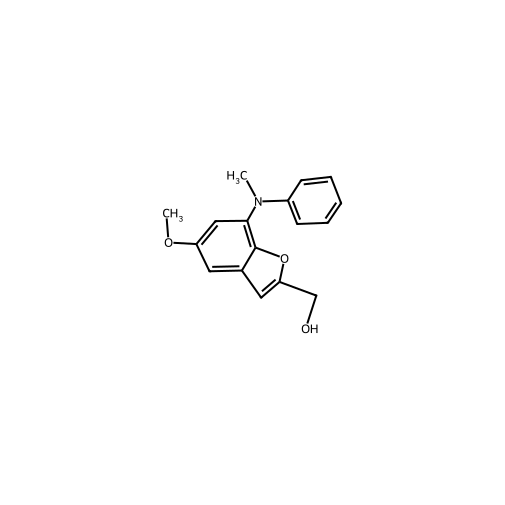 COc1cc(N(C)c2ccccc2)c2oc(CO)cc2c1